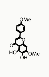 COc1ccc(-c2cc(=O)c3c(O)c(O)c(OC)cc3o2)cc1